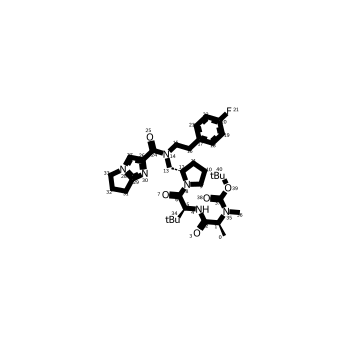 C[C@@H](C(=O)N[C@H](C(=O)N1CCC[C@H]1CN(CCc1ccc(F)cc1)C(=O)c1cn2c(n1)CCC2)C(C)(C)C)N(C)C(=O)OC(C)(C)C